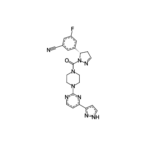 N#Cc1cc(F)cc([C@@H]2CC=NN2C(=O)N2CCN(c3nccc(-c4cc[nH]n4)n3)CC2)c1